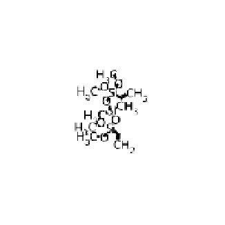 C=C[Si](OC)(OC)O[Si](C)(C)O[Si](C=C)(OC)OC